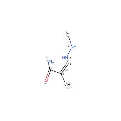 CNN/C=C(/C)C(N)=O